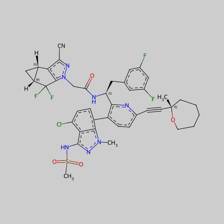 Cn1nc(NS(C)(=O)=O)c2c(Cl)ccc(-c3ccc(C#C[C@]4(C)CCCCCO4)nc3[C@H](Cc3cc(F)cc(F)c3)NC(=O)Cn3nc(C#N)c4c3C(F)(F)[C@@H]3C[C@H]43)c21